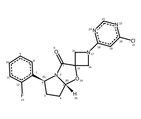 O=C1N2[C@@H](CC[C@H]2c2ccccc2F)OC12CN(c1cc(Cl)ncn1)C2